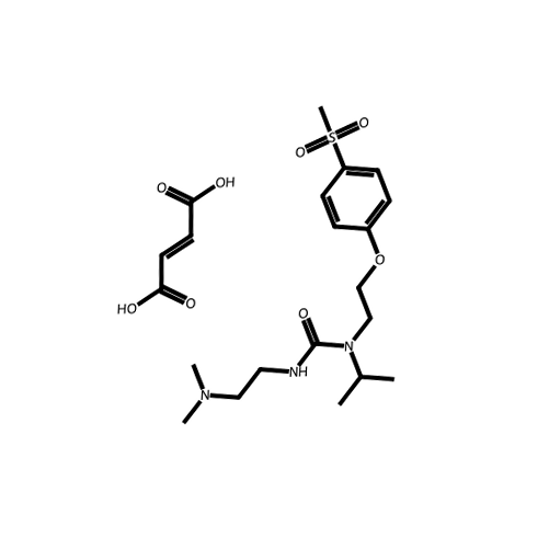 CC(C)N(CCOc1ccc(S(C)(=O)=O)cc1)C(=O)NCCN(C)C.O=C(O)/C=C/C(=O)O